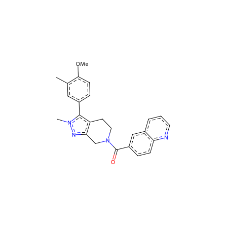 COc1ccc(-c2c3c(nn2C)CN(C(=O)c2ccc4ncccc4c2)CC3)cc1C